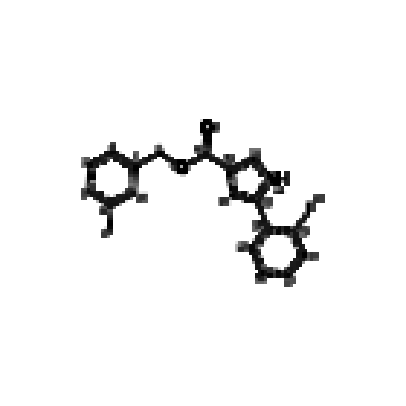 Cc1cccc(COC(=O)c2c[nH]c(-c3ccccc3F)c2)c1